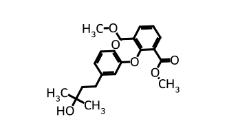 COC(=O)c1cccc(C(=O)OC)c1Oc1cccc(CCC(C)(C)O)c1